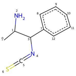 [CH2]C(N)C(N=C=S)c1ccccc1